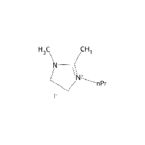 CCC[N+]1=C(C)N(C)CC1.[I-]